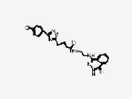 O=C(CCCc1nc(-c2ccc(Cl)cc2)no1)NCCNc1n[nH]c(=O)c2ccccc12